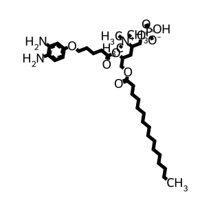 CCCCCCCCCCCCCCCC(=O)OCC(CC(COP(=O)([O-])O)[N+](C)(C)C)OC(=O)CCCCOc1ccc(N)c(N)c1